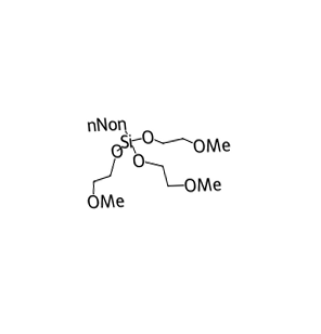 CCCCCCCCC[Si](OCCOC)(OCCOC)OCCOC